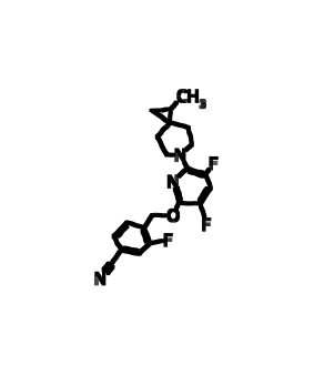 CC1CC12CCN(c1nc(OCc3ccc(C#N)cc3F)c(F)cc1F)CC2